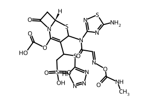 CNC(=O)ON=CC(=O)N(c1nsc(N)n1)C1S[C@H]2CC(=O)N2C(OC(=O)O)=C1C(CS(=O)(=O)O)Sc1nnn[nH]1